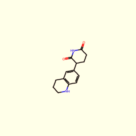 O=C1CCC(c2ccc3c(c2)CCCN3)C(=O)N1